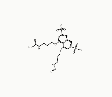 CC(=O)NCCCOc1cc(S(=O)(=O)O)cc2cc(S(=O)(=O)O)cc(OCCCNC=O)c12